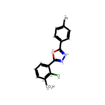 CC(C)c1ccc(-c2nnc(-c3cccc(C(=O)O)c3Cl)o2)cc1